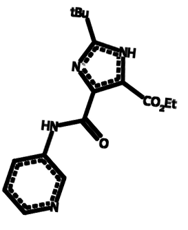 CCOC(=O)c1[nH]c(C(C)(C)C)nc1C(=O)Nc1cccnc1